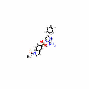 CCC(=O)N1CCc2cc(S(=O)(=O)N3CC(c4ccccc4)N=C3N)ccc21